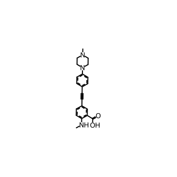 CNc1ccc(C#Cc2ccc(N3CCN(C)CC3)cc2)cc1C(=O)O